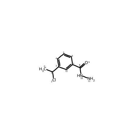 CC(Cl)c1cccc(C(=O)NN)c1